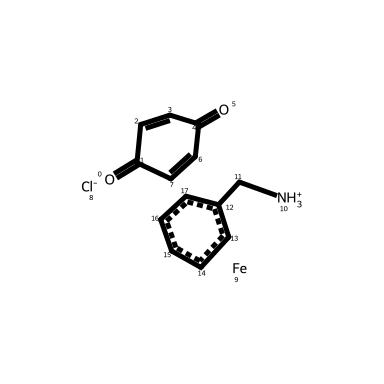 O=C1C=CC(=O)C=C1.[Cl-].[Fe].[NH3+]Cc1ccccc1